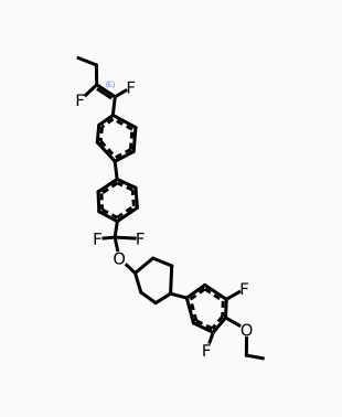 CCOc1c(F)cc(C2CCC(OC(F)(F)c3ccc(-c4ccc(/C(F)=C(\F)CC)cc4)cc3)CC2)cc1F